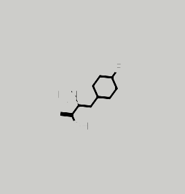 C=C(O)[C@@H](N)CC1CCC(CC)CC1